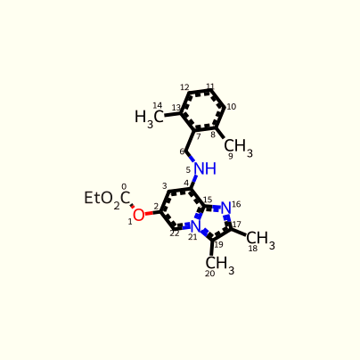 CCOC(=O)Oc1cc(NCc2c(C)cccc2C)c2nc(C)c(C)n2c1